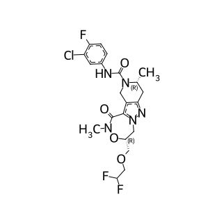 C[C@@H]1Cc2nn3c(c2CN1C(=O)Nc1ccc(F)c(Cl)c1)C(=O)N(C)O[C@@H](COCC(F)F)C3